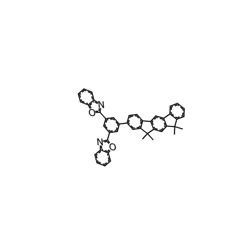 CC1(C)c2ccccc2-c2cc3c(cc21)C(C)(C)c1cc(-c2cc(-c4nc5ccccc5o4)cc(-c4nc5ccccc5o4)c2)ccc1-3